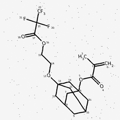 C=C(C)C(=O)OC12CC3CC(CC(OCCOC(=O)C(F)(F)C(F)(F)F)(C3)C1)C2